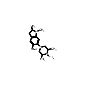 COc1cc2c(cc1N1CC(C)N(C)C(C)C1)N(C)C(C)C2